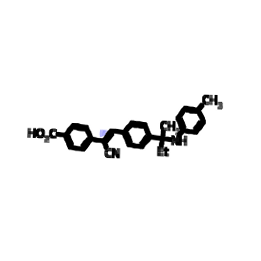 CCC(C)(Nc1ccc(C)cc1)c1ccc(/C=C(\C#N)c2ccc(C(=O)O)cc2)cc1